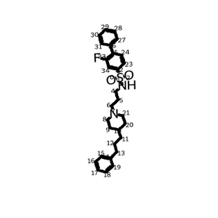 O=S(=O)(NCCCN1CCC(CCCc2ccccc2)CC1)c1ccc(-c2ccccc2)c(F)c1